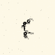 CN1CCC(Nc2cccc3c(CC(F)(F)F)c(C#CCNc4ccc(S(N)(=O)=O)cc4OCCO)sc23)CC1